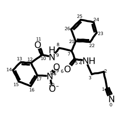 N#CCCNC(=O)C(CNC(=O)c1ccccc1[N+](=O)[O-])c1ccccc1